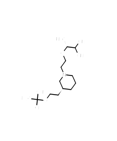 CC(C)[C@@H](C)OCCN1CCC[C@@H](CCOC(C)(C)C)C1